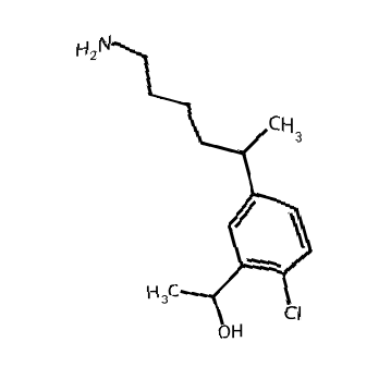 CC(O)c1cc(C(C)CCCCN)ccc1Cl